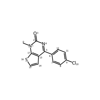 Cn1c(=O)nc(-c2ccc(Cl)cc2)c2ccsc21